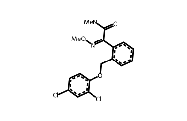 CNC(=O)C(=NOC)c1ccccc1COc1ccc(Cl)cc1Cl